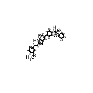 COc1ccnc(CCc2nc3cc(-c4ccc(NS(=O)(=O)c5ccccc5)cc4)cnc3[nH]2)c1